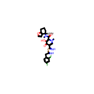 CNC1(N(C)C(=O)c2c(O)c(=O)c(C(=N)SC(=N)Cc3ccc(F)cc3F)cn2C)CCCc2occc21